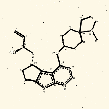 C=C[C@H](O)C[C@H]1CCc2sc3ncnc(OC4CCC(CC)(N(C)C)CC4)c3c21